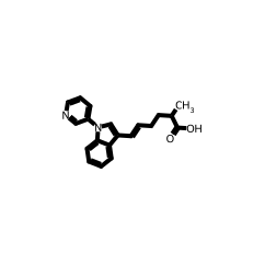 CC(CC/C=C/c1cn(-c2cccnc2)c2ccccc12)C(=O)O